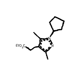 CCOC(=O)Cc1c(C)nn(C2CCCC2)c1C